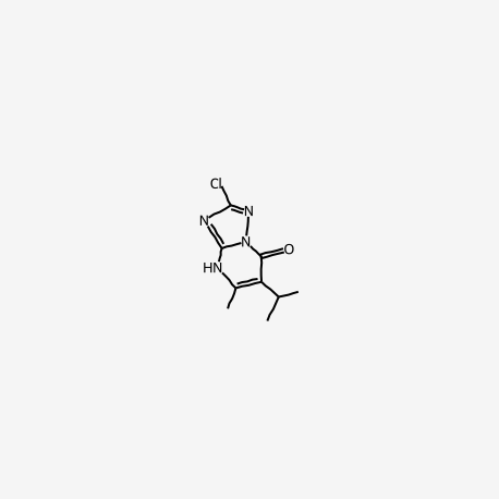 Cc1[nH]c2nc(Cl)nn2c(=O)c1C(C)C